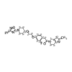 Cc1nc2c(s1)CN(C(=O)Cc1ccc(OCCOC3CCN(c4nc(C(C)C)no4)CC3)cc1F)CC2